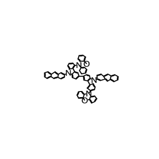 C1=CC2=C(CC1)N(c1cccc3c1c1cc(-c4ccc5c(c4)c4cc(N6c7ccccc7Oc7ccccc76)ccc4n5-c4ccc5cc6ccccc6cc5c4)ccc1n3-c1ccc3cc4ccccc4cc3c1)c1ccccc1O2